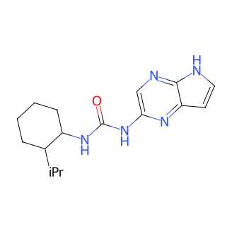 CC(C)C1CCCCC1NC(=O)Nc1cnc2[nH]ccc2n1